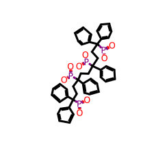 O=P(=O)C(CCC(CCC(c1ccccc1)(c1ccccc1)P(=O)=O)(c1ccccc1)P(=O)=O)(CCC(c1ccccc1)(c1ccccc1)P(=O)=O)c1ccccc1